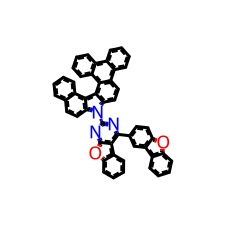 c1ccc2c(c1)ccc1c2c2c3c4ccccc4c4ccccc4c3ccc2n1-c1nc(-c2ccc3oc4ccccc4c3c2)c2c(n1)oc1ccccc12